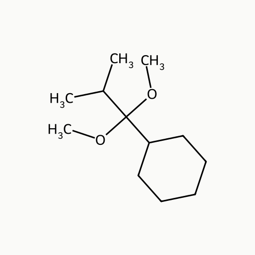 COC(OC)(C(C)C)C1CCCCC1